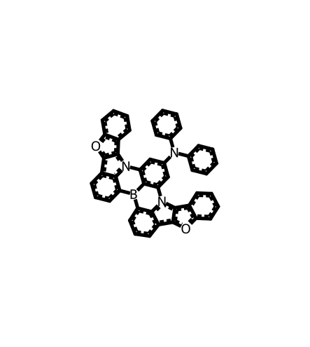 c1ccc(N(c2ccccc2)c2cc3c4c(c2)-n2c5c(cccc5c5oc6ccccc6c52)B4c2cccc4c5oc6ccccc6c5n-3c24)cc1